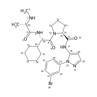 CN[C@@H](C)C(=O)N[C@H](C(=O)N1CCC[C@H]1C(=O)Nc1ccnn1-c1cccc(Br)c1)C1CCCCC1